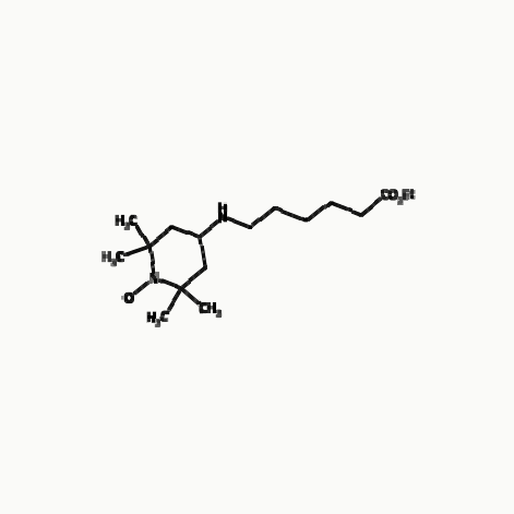 CCOC(=O)CCCCCNC1CC(C)(C)N([O])C(C)(C)C1